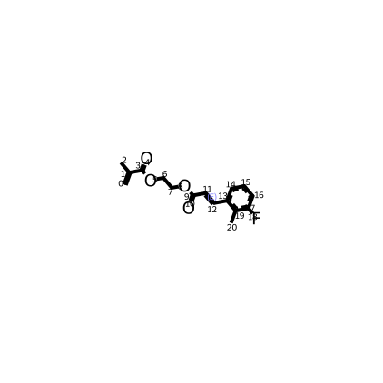 C=C(C)C(=O)OCCOC(=O)/C=C/c1cccc(F)c1C